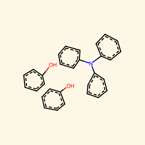 Oc1ccccc1.Oc1ccccc1.c1ccc(N(c2ccccc2)c2ccccc2)cc1